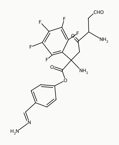 NN=Cc1ccc(OC(=O)C(N)(CC(=O)C(N)CC=O)c2c(F)c(F)c(F)c(F)c2F)cc1